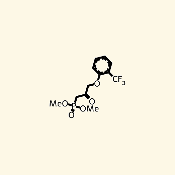 COP(=O)(CC(=O)COc1ccccc1C(F)(F)F)OC